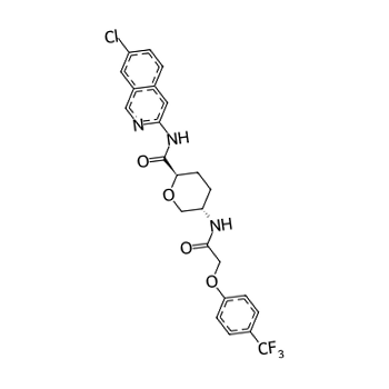 O=C(COc1ccc(C(F)(F)F)cc1)N[C@H]1CC[C@H](C(=O)Nc2cc3ccc(Cl)cc3cn2)OC1